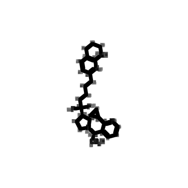 O=C(O)[C@H](c1cccnc1C1CC1)N1CC[C@@H](C(F)(F)CCCCc2ccc3c(n2)NCCC3)C1